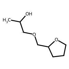 CC(O)[CH]OCC1CCCO1